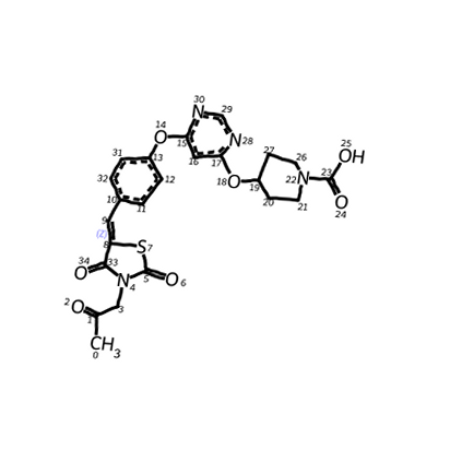 CC(=O)CN1C(=O)S/C(=C\c2ccc(Oc3cc(OC4CCN(C(=O)O)CC4)ncn3)cc2)C1=O